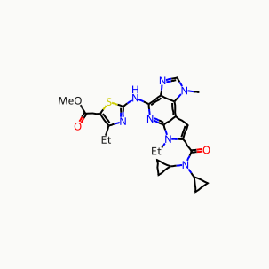 CCc1nc(Nc2nc3c(cc(C(=O)N(C4CC4)C4CC4)n3CC)c3c2ncn3C)sc1C(=O)OC